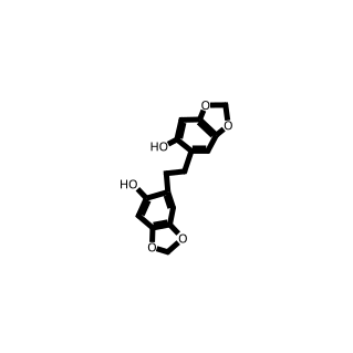 Oc1cc2c(cc1CCc1cc3c(cc1O)OCO3)OCO2